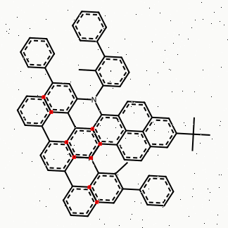 Cc1c(-c2ccccc2)cccc1N(c1cc(-c2ccccc2)ccc1-c1ccccc1)c1cc(N(c2cc(-c3ccccc3)ccc2-c2ccccc2)c2cccc(-c3ccccc3)c2C)c2ccc3cc(C(C)(C)C)cc4ccc1c2c43